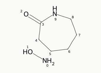 NO.O=C1CCCCCN1